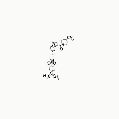 CC1CCN(C(=O)c2cnn3ccc(C4CCN(S(=O)(=O)c5ccc(N(C)C)cc5)CC4)cc23)CC1